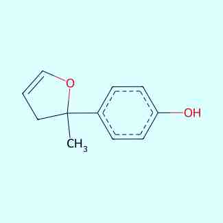 CC1(c2ccc(O)cc2)CC=CO1